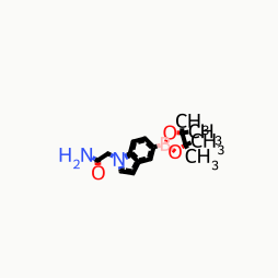 CC1(C)OB(c2ccc3c(ccn3CC(N)=O)c2)OC1(C)C